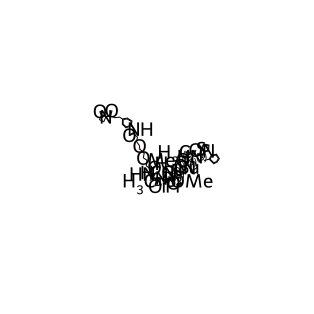 CC[C@H](C)[C@@H]([C@@H](CC(=O)N1CCC[C@H]1[C@H](OC)[C@@H](C)C(=O)N[C@@H](Cc1ccccc1)c1nccs1)OC)N(C)C(=O)[C@@H](NC(=O)C(C)(C)NC(=O)CCOCCOCCC(=O)Nc1ccc(CCC(=O)N2CCC2=O)cc1)C(C)C